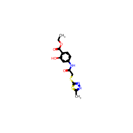 CCOC(=O)c1ccc(NC(=O)CSc2nnc(C)s2)cc1O